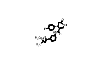 Cc1cc(-c2cccc(NC(=O)C3=CNC(=O)C[C@H]3c3ccc(F)cc3)c2)nn1C